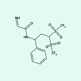 N=CC(=O)NC(CC(S(=O)(=O)C(F)(F)F)S(=O)(=O)C(F)(F)F)c1ccccc1